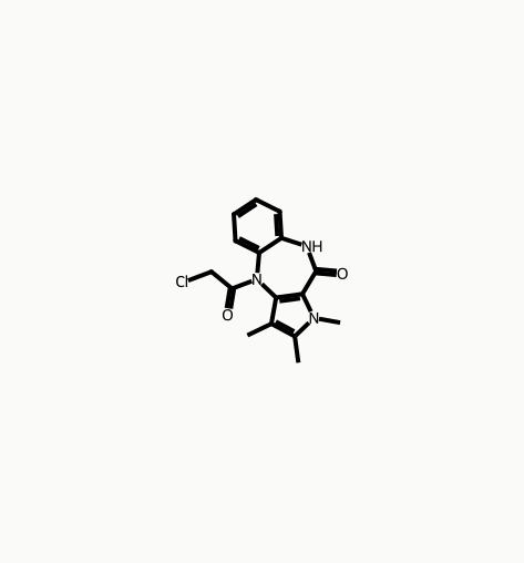 Cc1c2c(n(C)c1C)C(=O)Nc1ccccc1N2C(=O)CCl